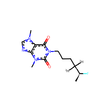 [2H]C([2H])(CCCn1c(=O)c2c(ncn2C)n(C)c1=O)[C@H](C)F